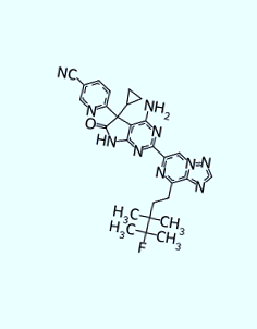 CC(C)(F)C(C)(C)CCc1nc(-c2nc(N)c3c(n2)NC(=O)C3(c2ccc(C#N)cn2)C2CC2)cn2ncnc12